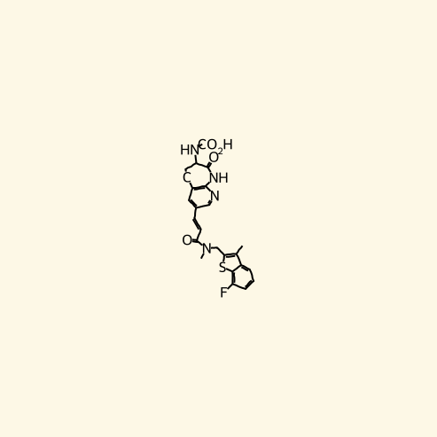 Cc1c(CN(C)C(=O)/C=C/c2cnc3c(c2)CCC(NC(=O)O)C(=O)N3)sc2c(F)cccc12